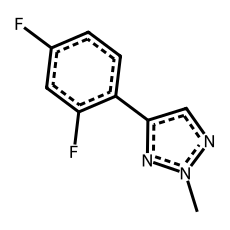 Cn1ncc(-c2ccc(F)cc2F)n1